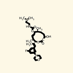 C/C(=C\c1cc(F)cc(N2CCOCC2)c1)[C@H]1OC(=O)C[C@H](O)CC[C@H](C)[C@@H](OC(=O)NCCN(C)C)/C=C/[C@@H]1C